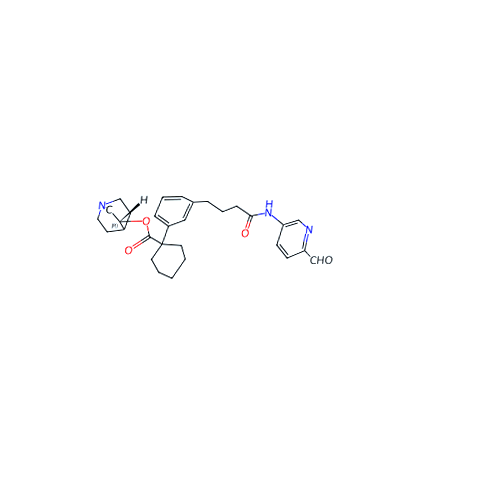 O=Cc1ccc(NC(=O)CCCc2cccc(C3(C(=O)O[C@H]4CN5CCC4CC5)CCCCC3)c2)cn1